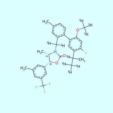 [2H]C([2H])([2H])Oc1cc(F)c(C([2H])(C)C([2H])([2H])[2H])cc1-c1ccc(C)cc1C([2H])([2H])N1C(=O)O[C@H](c2cc(C)cc(C(F)(F)F)c2)[C@@H]1C